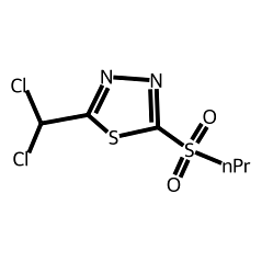 CCCS(=O)(=O)c1nnc(C(Cl)Cl)s1